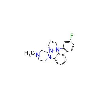 CN1CCN(c2ccccc2[N+]2(c3cccc(F)c3)C=CC=N2)CC1